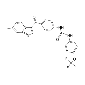 Cc1ccn2c(C(=O)c3ccc(NC(=O)Nc4ccc(OC(F)(F)F)cc4)cc3)cnc2c1